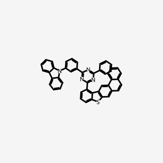 c1ccc(-c2nc(-c3cccc(-n4c5ccccc5c5ccccc54)c3)nc(-c3cccc4sc5cc6ccc7ccccc7c6cc5c34)n2)cc1